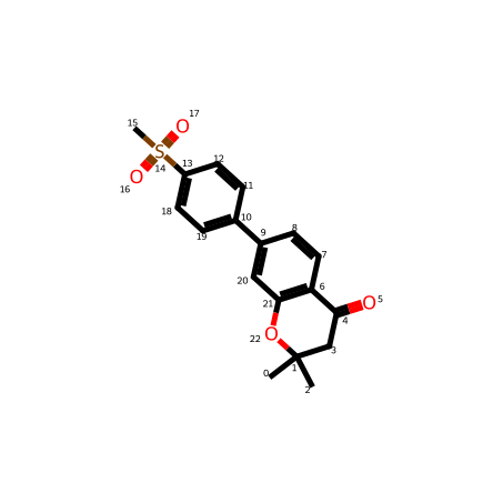 CC1(C)CC(=O)c2ccc(-c3ccc(S(C)(=O)=O)cc3)cc2O1